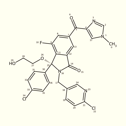 Cn1cnc(C(=O)c2cc(F)c3c(c2)C(=O)N(Cc2ccc(Cl)nc2)[C@@]3(OCCO)c2ccc(Cl)cc2)c1